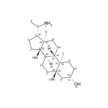 CC(N)[C@H]1CC[C@H]2[C@@H]3CC[C@H]4C[C@@H](O)CC[C@]4(C)[C@H]3CC[C@]12C